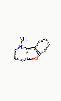 C[n+]1cccc2oc3ccccc3c21